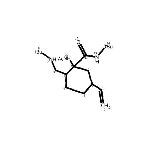 C=CC1CCC(CNC(C)(C)C)C(NC(C)=O)(C(=O)NC(C)(C)C)C1